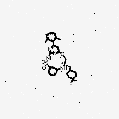 Cc1cccc(C)c1-c1cc2nc(n1)NS(=O)(=O)c1cccc(c1)N[C@H](CC1CCC(F)(F)CC1)CO2